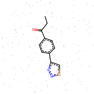 CCC(=O)c1ccc(-c2csnn2)cc1